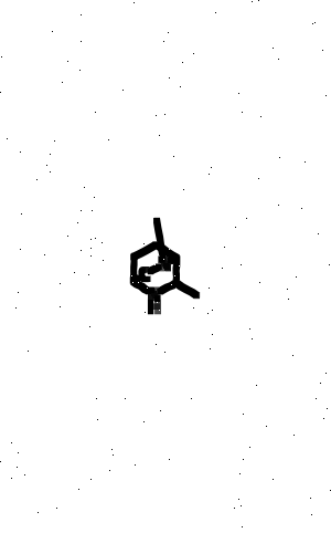 CC1NC2CCC1N(C)C2